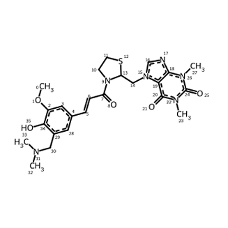 COc1cc(C=CC(=O)N2CCSC2Cn2cnc3c2c(=O)n(C)c(=O)n3C)cc(CN(C)C)c1O